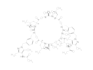 CC(=O)Nc1c(C)nn(Cc2ccc(C[C@H]3OC(=O)[C@H](CC(C)C)N(C)C(=O)[C@@H](C)OC(=O)[C@H](CC(C)C)N(C)C(=O)[C@@H](Cc4cccc(Cn5nc(C)c(NC(C)=O)c5C)c4)OC(=O)[C@H](CC(C)C)N(C)C(=O)[C@@H](C)OC(=O)[C@H](CC(C)C)N(C)C3=O)cc2)c1C